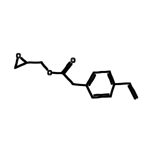 C=Cc1ccc(CC(=O)OCC2CO2)cc1